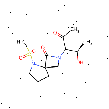 CC(=O)C([C@@H](C)O)N1C[C@]2(CCCN2S(C)(=O)=O)C1=O